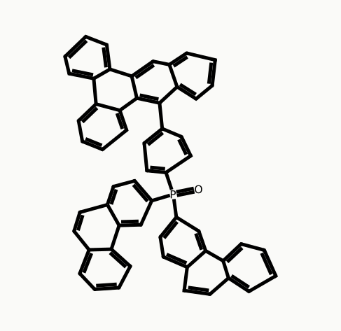 O=P(c1ccc(-c2c3ccccc3cc3c4ccccc4c4ccccc4c23)cc1)(c1ccc2ccc3ccccc3c2c1)c1ccc2ccc3ccccc3c2c1